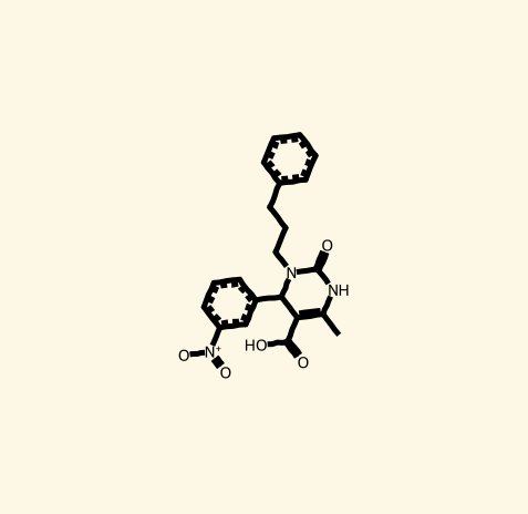 CC1=C(C(=O)O)C(c2cccc([N+](=O)[O-])c2)N(CCCc2ccccc2)C(=O)N1